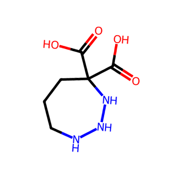 O=C(O)C1(C(=O)O)CCCNNN1